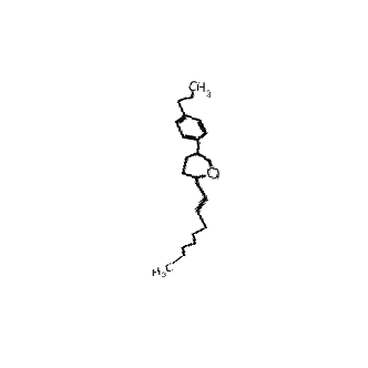 CCCCCCCCC1CCC(c2ccc(CCC)cc2)CO1